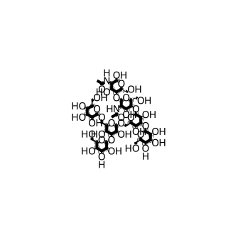 CC(=O)N[C@@H]1[C@@H](O)[C@H](O[C@@H]2O[C@H](CO)[C@@H](O[C@@H]3O[C@H](CO[C@H]4O[C@H](CO[C@H]5O[C@H](CO)[C@@H](O)[C@H](O)[C@@H]5O)[C@@H](O)[C@H](O[C@H]5O[C@H](CO)[C@@H](O)[C@H](O)[C@@H]5O)[C@@H]4O)[C@@H](O)[C@H](O[C@H]4O[C@H](CO)[C@@H](O)[C@H](O)[C@@H]4O)[C@@H]3O)[C@H](O)[C@H]2NC(C)=O)[C@@H](CO)O[C@H]1O